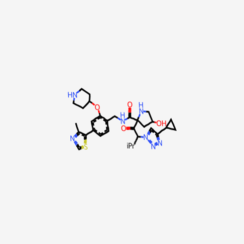 Cc1ncsc1-c1ccc(CNC(=O)C2(C(=O)C(C(C)C)n3cc(C4CC4)nn3)CC(O)CN2)c(OC2CCNCC2)c1